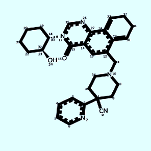 N#CC1(c2ccccn2)CCN(Cc2cc3c(=O)n([C@H]4CCCC[C@@H]4O)cnc3c3c2=CCCC=3)CC1